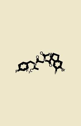 C[C@H](N(Cc1ccc(F)cc1)C(=O)CN1C(=O)NC2(CCc3cc(Br)c(F)cc32)C1=O)C(F)(F)F